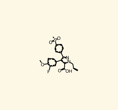 C=CCn1nc(-c2ccc(S(C)(=O)=O)cc2)c(-c2ccc(OC)c(F)c2)c1C(=O)O